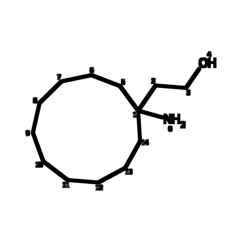 NC1(CCO)CCCCCCCCCC1